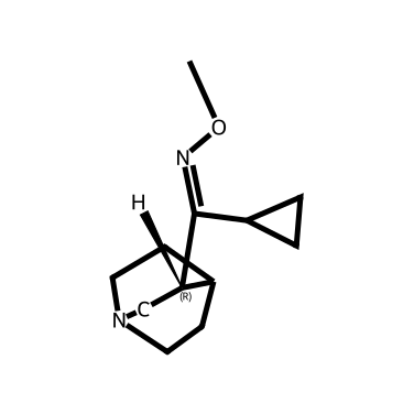 CON=C(C1CC1)[C@H]1CN2CCC1CC2